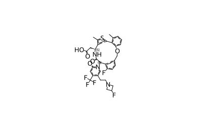 Cc1cccc2c1-c1cc(c(C)s1)[C@H](CC(=O)O)NC(=O)[C@H](n1cc(CCN3CC(F)C3)c(C(F)(F)F)cc1=O)c1cc(ccc1F)CO2